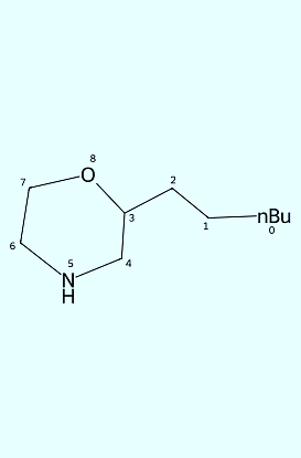 [CH2]CCCCCC1CNCCO1